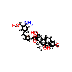 C[C@]12C=CC(=O)C=C1CC[C@@H]1[C@@H]2[C@@H](O)C[C@@]2(C)[C@H]1C[C@H]1O[C@@H](c3ccc(Cc4ccc(N)c(CO)c4)s3)O[C@]12C(=O)CO